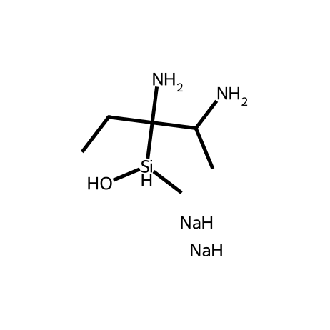 CCC(N)(C(C)N)[SiH](C)O.[NaH].[NaH]